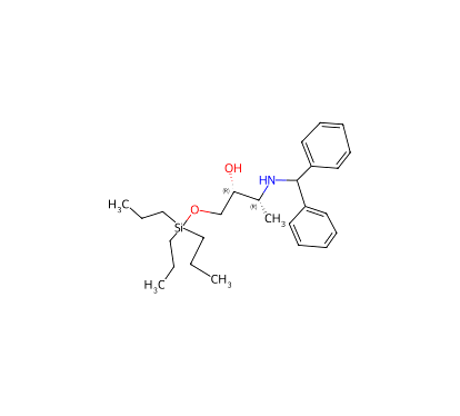 CCC[Si](CCC)(CCC)OC[C@H](O)[C@@H](C)NC(c1ccccc1)c1ccccc1